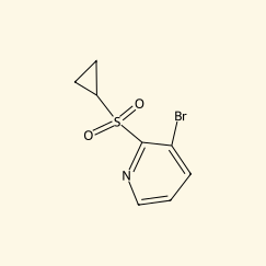 O=S(=O)(c1ncccc1Br)C1CC1